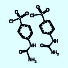 NC(=O)Nc1ccc(S(=O)(=O)Cl)cc1.NC(=O)Nc1ccc(S(=O)(=O)Cl)cc1